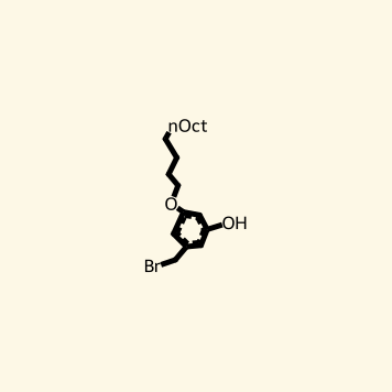 CCCCCCCCCCCCOc1cc(O)cc(CBr)c1